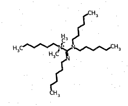 CCCCCCN=C(N(CCCCCC)CCCCCC)[N+](C)(C)CCCCCC